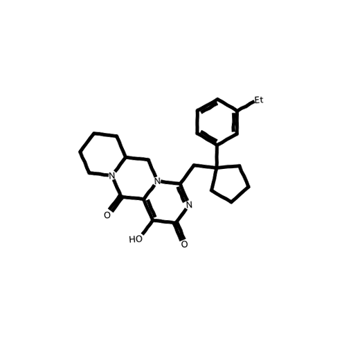 CCc1cccc(C2(Cc3nc(=O)c(O)c4n3CC3CCCCN3C4=O)CCCC2)c1